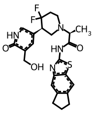 C[C@@H](C(=O)Nc1nc2cc3c(cc2s1)CCC3)N1CCC(F)(F)[C@H](c2c[nH]c(=O)c(CO)c2)C1